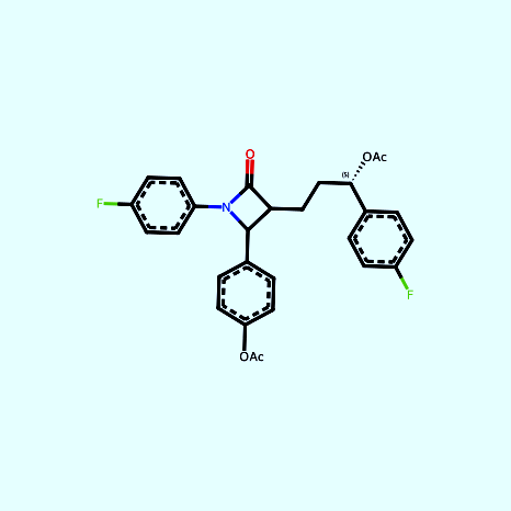 CC(=O)Oc1ccc(C2C(CC[C@H](OC(C)=O)c3ccc(F)cc3)C(=O)N2c2ccc(F)cc2)cc1